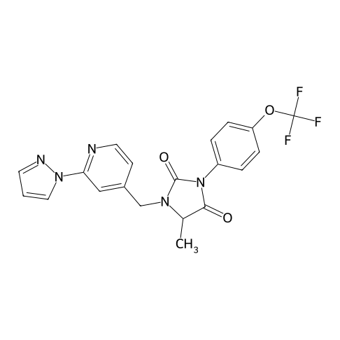 CC1C(=O)N(c2ccc(OC(F)(F)F)cc2)C(=O)N1Cc1ccnc(-n2cccn2)c1